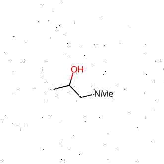 [CH2]C(O)CNC